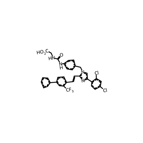 O=C(O)CNC(=O)Nc1ccc(Cn2cc(-c3ccc(Cl)cc3Cl)nc2C=Cc2ccc(-c3ccccc3)cc2C(F)(F)F)cc1